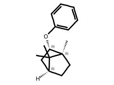 CC1(C)[C@H]2CC[C@]1(C)[C@@H](Oc1ccccc1)C2